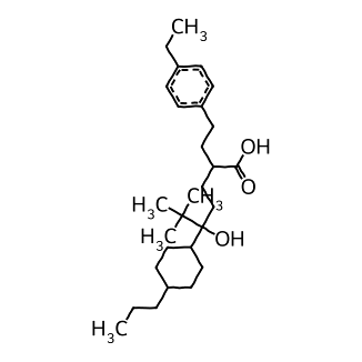 CCCC1CCC(C(O)(CCC(CCc2ccc(CC)cc2)C(=O)O)C(C)(C)C)CC1